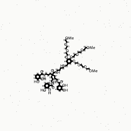 COCCOCCOCCOc1cc(CNCCCCNC(=O)C(CCCNC(=O)c2cccc(O)c2O)(CCCNC(=O)c2cccc(O)c2O)CCCNC(=O)c2cccc(O)c2O)cc(OCCOCCOCCOC)c1OCCOCCOCCOC